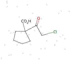 O=C(O)C1(C(=O)CCl)CCCC1